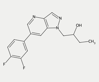 CCC(O)Cn1ncc2ncc(-c3ccc(F)c(F)c3)cc21